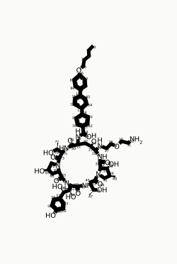 CCCCCOc1ccc(-c2ccc(-c3ccc(C(=O)NC4C[C@@H](O)C(NCCOCCN)NC(=O)C5[C@@H](O)[C@@H](C)CN5C(=O)C([C@@H](C)O)NC(=O)C([C@H](O)[C@@H](O)c5ccc(O)cc5)NC(=O)C5C[C@@H](O)CN5C(=O)C([C@@H](C)O)NC4=O)cc3)cc2)cc1